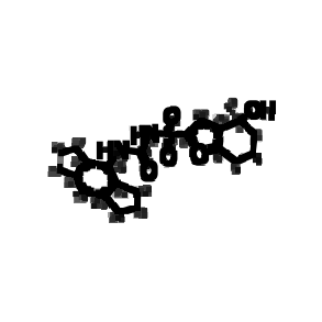 C[C@]1(O)CCCc2oc(S(=O)(=O)NC(=O)Nc3c4c(cc5c3CCC5)CCC4)cc21